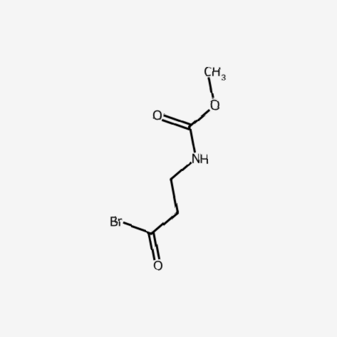 COC(=O)NCCC(=O)Br